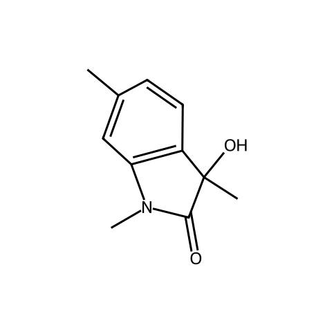 Cc1ccc2c(c1)N(C)C(=O)C2(C)O